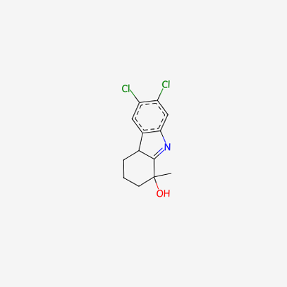 CC1(O)CCCC2C1=Nc1cc(Cl)c(Cl)cc12